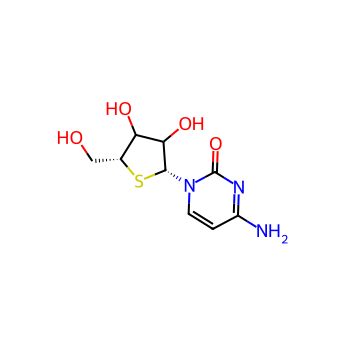 Nc1ccn([C@@H]2S[C@H](CO)C(O)C2O)c(=O)n1